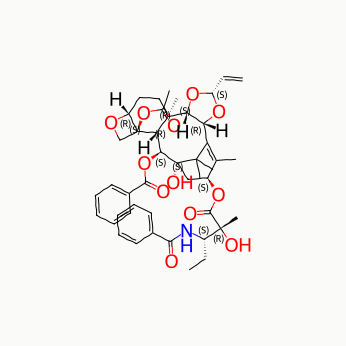 C=C[C@@H]1O[C@@H]2C3=C(C)[C@@H](OC(=O)[C@](C)(O)[C@H](CC)NC(=O)c4ccccc4)C[C@@](O)([C@@H](OC(=O)c4ccccc4)[C@H]4[C@@](C)(CC[C@H]5OC[C@]54OC(C)=O)[C@@H]2O1)C3(C)C